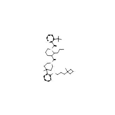 CCCC1C(C(=O)N2CCC(O)(c3ccccc3OCCCC3(C)CCC3)CC2)CCCN1C(=O)c1ncccc1C(F)(F)F